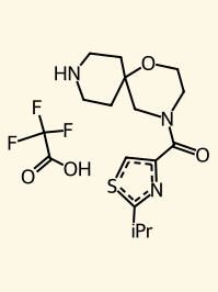 CC(C)c1nc(C(=O)N2CCOC3(CCNCC3)C2)cs1.O=C(O)C(F)(F)F